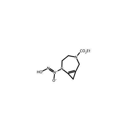 CCOC(=O)N1CCN(/[N+]([O-])=N/O)C2=C(C2)C1